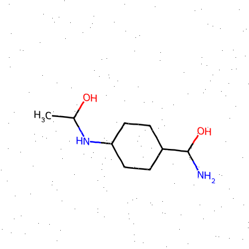 CC(O)NC1CCC(C(N)O)CC1